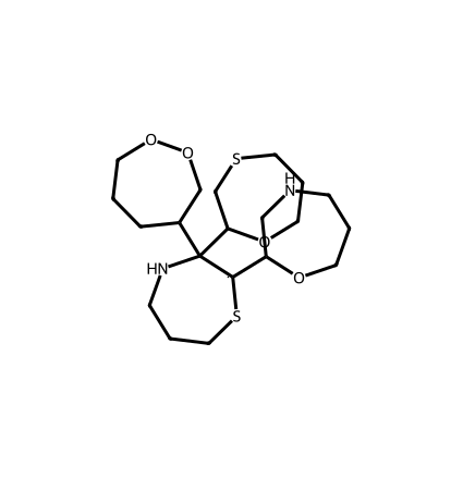 C1CNCC([C]2SCCCNC2(C2CCCOOC2)C2CSCCCO2)OC1